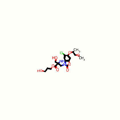 COCC(C)Oc1cc2oc(=O)n(CC(N)(CO)C(=O)OCCCO)c2cc1Cl